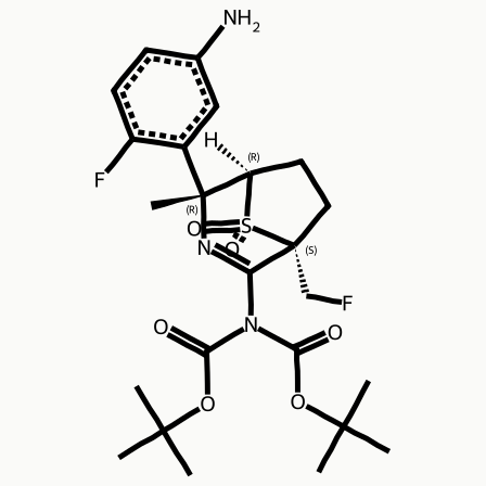 CC(C)(C)OC(=O)N(C(=O)OC(C)(C)C)C1=N[C@](C)(c2cc(N)ccc2F)[C@H]2CC[C@]1(CF)S2(=O)=O